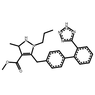 CCCN1NC(C)C(C(=O)OC)=C1Cc1ccc(-c2ccccc2-c2nn[nH]n2)cc1